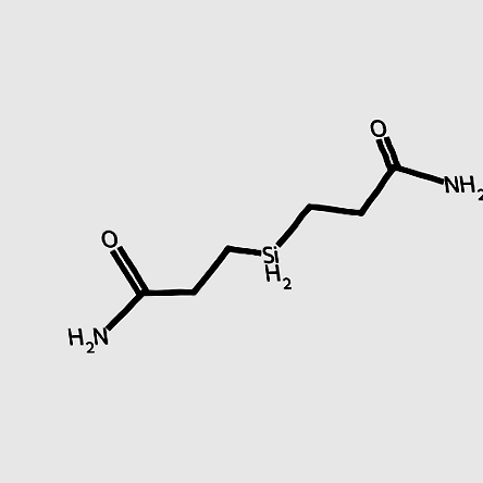 NC(=O)CC[SiH2]CCC(N)=O